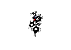 CN(C)/C=C/C(=O)c1ccccc1P(=S)(c1ccccc1)c1ccccc1